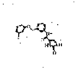 O=C(Nc1cccc(COc2cccc(F)c2)c1)c1c[nH]c(=O)[nH]1